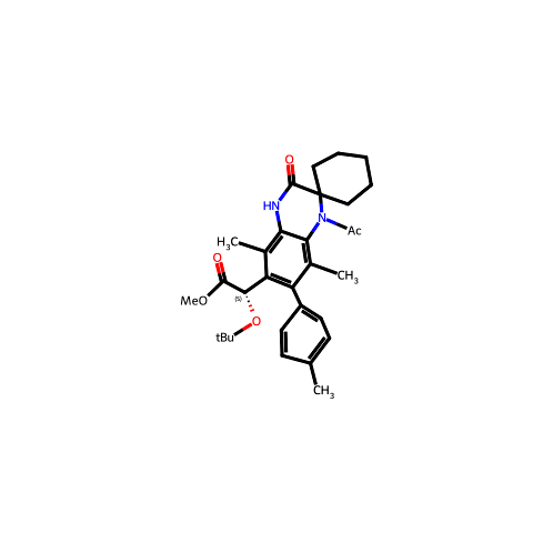 COC(=O)[C@@H](OC(C)(C)C)c1c(C)c2c(c(C)c1-c1ccc(C)cc1)N(C(C)=O)C1(CCCCC1)C(=O)N2